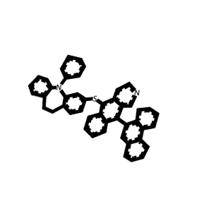 c1ccc(N2c3ccccc3CCc3ccc(Sc4c5ccccc5c(-c5cc6ccccc6c6ccccc56)c5cnccc45)cc32)cc1